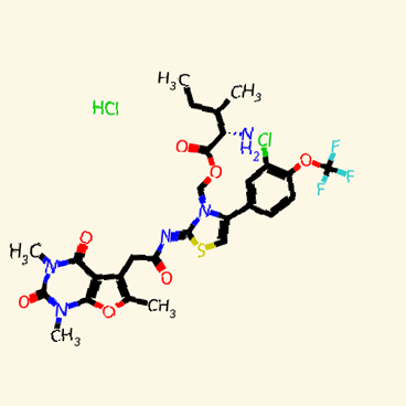 CCC(C)[C@H](N)C(=O)OCn1c(-c2ccc(OC(F)(F)F)c(Cl)c2)cs/c1=N\C(=O)Cc1c(C)oc2c1c(=O)n(C)c(=O)n2C.Cl